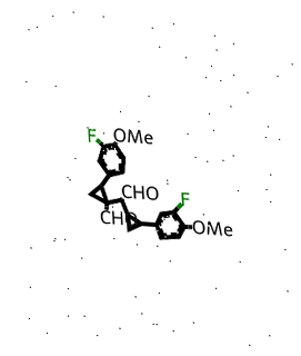 COc1ccc(C2CC2C(C=O)C2(C=O)CC2c2ccc(OC)c(F)c2)cc1F